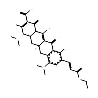 CCOC(=O)/C=C/c1cc(N(C)C)c2c(c1O)C(=O)C1=C(O)[C@]3(O)C(=O)C(C(N)=O)=C(O)[C@@H](N(C)C)[C@@H]3C[C@H]1C2